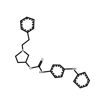 O=C(Nc1ccc(Nc2ccccc2)cc1)OC1CCN(CCc2ccccc2)C1